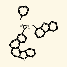 c1ccc(C[N@@]2C(c3ccc4c(ccc5ccc6sc7ccccc7c6c54)c3)[N@@]2Cc2cccc3c2oc2ccccc23)cc1